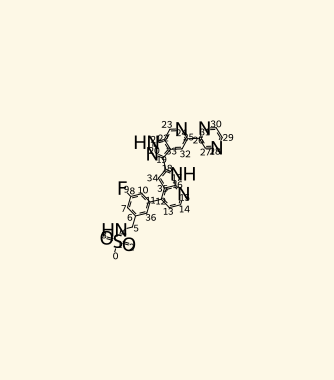 CS(=O)(=O)NCc1cc(F)cc(-c2ccnc3[nH]c(-c4n[nH]c5cnc(-c6cnccn6)cc45)cc23)c1